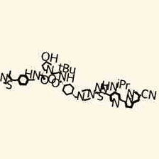 Cc1ncsc1-c1ccc(CNC(=O)[C@@H]2C[C@@H](O)CN2C(=O)C(NC(=O)[C@H]2CC[C@H](CN3CCN(c4nnc(-c5cnc(-c6ccc7cc(C#N)cnn67)cc5NC(C)C)s4)CC3)CC2)C(C)(C)C)cc1